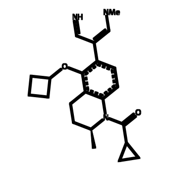 CN/C=C(\C=N)c1ccc2c(c1OC1CCC1)CC[C@H](C)N2C(=O)C1CC1